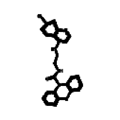 O=C(NCCNc1ccnc2cc(Cl)ccc12)N1c2ccccc2Sc2ccccc21